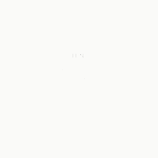 C=C(C)C(C(=C)C(N)CC)=C(C)C